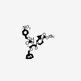 C[C@@H](OCC12CCC(CC1)OC2)[C@H](NC(=O)OCc1ccc([N+](=O)[O-])cc1)C(=O)N1CCN(C(=O)OC(C)(C)C)C2(CC2)C1